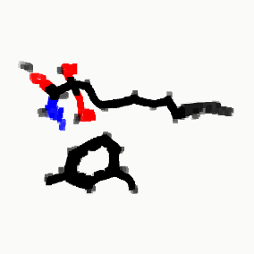 CCCCCCCCCCCCCCCCC(O)(O)C(N)=O.Cc1cccc(C)c1